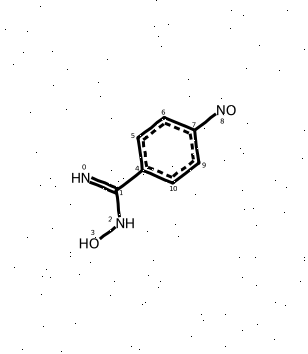 N=C(NO)c1ccc(N=O)cc1